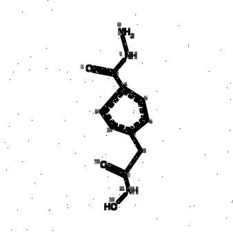 NNC(=O)c1ccc(CC(=O)NO)cc1